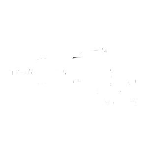 CN1CCC(N(C)C[C@H]2CNC(OC(=O)C(C)(C)C)C2)CC1